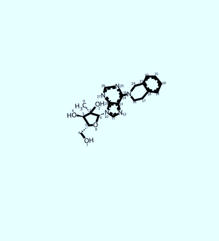 C[C@@]1(O)[C@H](O)[C@@H](CO)O[C@H]1n1cnc2c(N3CCc4ccccc4C3)ncnc21